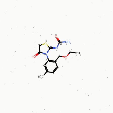 CCOCc1ccc(C)cc1N1C(=O)CSC1=NC(N)=O